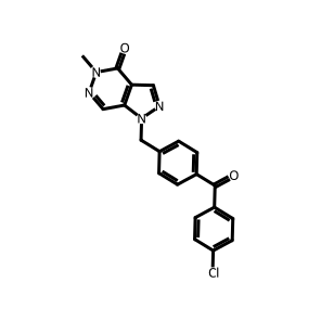 Cn1ncc2c(cnn2Cc2ccc(C(=O)c3ccc(Cl)cc3)cc2)c1=O